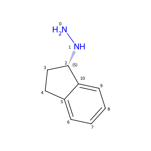 NN[C@H]1CCc2ccccc21